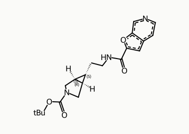 CC(C)(C)OC(=O)N1C[C@@H]2[C@@H](CCNC(=O)c3cc4ccncc4o3)[C@@H]2C1